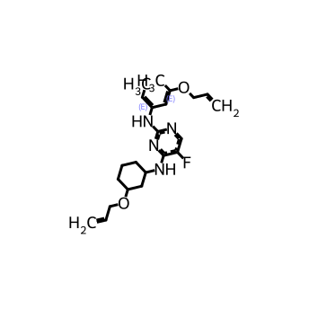 C=CCO/C(C)=C/C(=C\C)Nc1ncc(F)c(NC2CCCC(OCC=C)C2)n1